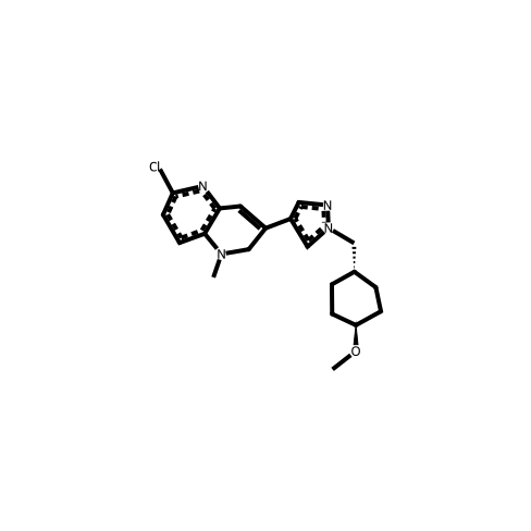 CO[C@H]1CC[C@H](Cn2cc(C3=Cc4nc(Cl)ccc4N(C)C3)cn2)CC1